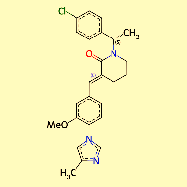 COc1cc(/C=C2\CCCN([C@@H](C)c3ccc(Cl)cc3)C2=O)ccc1-n1cnc(C)c1